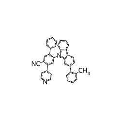 Cc1ccccc1-c1ccc2c3ccccc3n(-c3cc(-c4ccncc4)c(C#N)cc3-c3ccccc3)c2c1